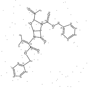 CC(=O)C1OC2C(C(=O)N2C(C(=O)OCc2ccccc2)=C(C)C)N1C(=O)OCc1ccccc1